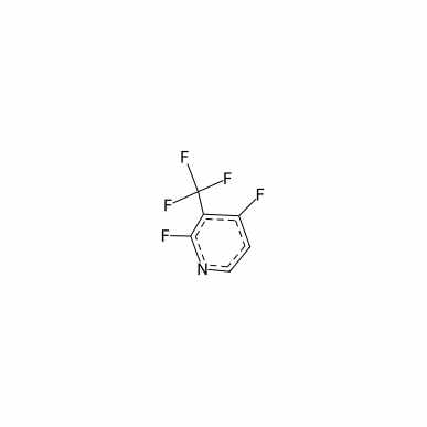 Fc1ccnc(F)c1C(F)(F)F